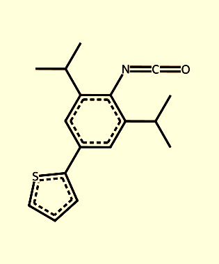 CC(C)c1cc(-c2cccs2)cc(C(C)C)c1N=C=O